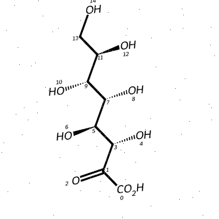 O=C(O)C(=O)[C@@H](O)[C@@H](O)[C@@H](O)[C@H](O)[C@H](O)CO